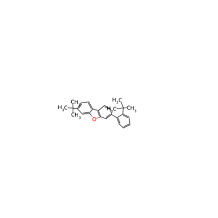 CC(C)(C)c1ccc2c(c1)oc1cc(-c3ccccc3C(C)(C)C)ccc12